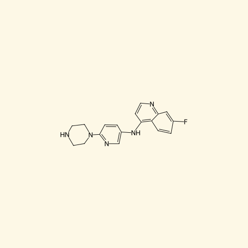 Fc1ccc2c(Nc3ccc(N4CCNCC4)nc3)ccnc2c1